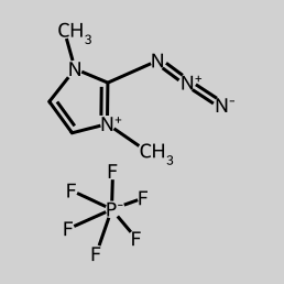 Cn1cc[n+](C)c1N=[N+]=[N-].F[P-](F)(F)(F)(F)F